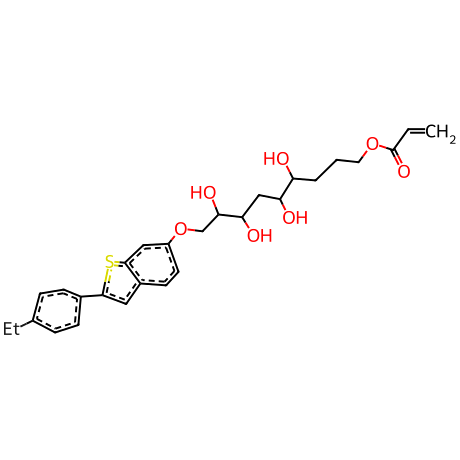 C=CC(=O)OCCCC(O)C(O)CC(O)C(O)COc1ccc2cc(-c3ccc(CC)cc3)sc2c1